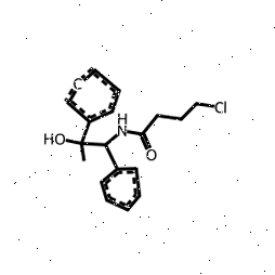 CC(O)(c1ccccc1)C(NC(=O)CCCCl)c1ccccc1